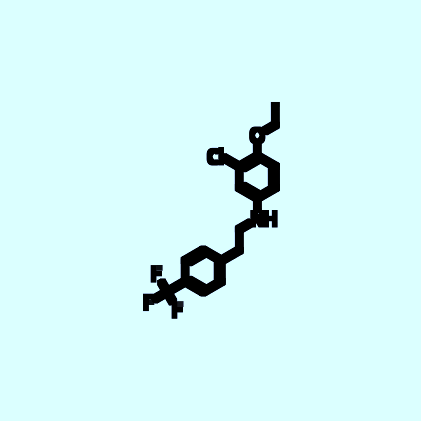 CCOc1ccc(NCCc2ccc(C(F)(F)F)cc2)cc1Cl